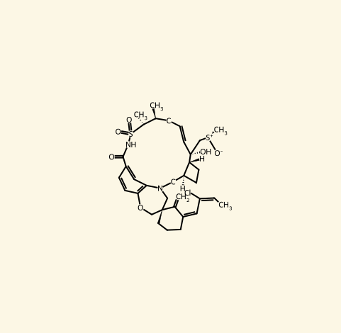 C=C1/C(=C\C(Cl)=C/C)CCC[C@]12COc1ccc3cc1N(C[C@@H]1CC[C@H]1[C@](O)(C[S@+](C)[O-])/C=C/C[C@H](C)[C@@H](C)S(=O)(=O)NC3=O)C2